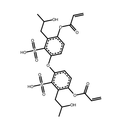 C=CC(=O)Oc1ccc(Oc2ccc(OC(=O)C=C)c(CC(C)O)c2S(=O)(=O)O)c(S(=O)(=O)O)c1CC(C)O